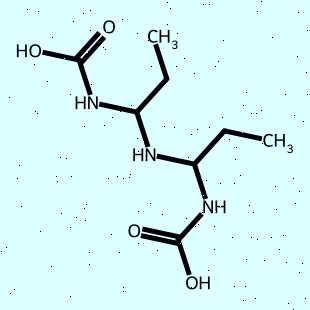 CCC(NC(=O)O)NC(CC)NC(=O)O